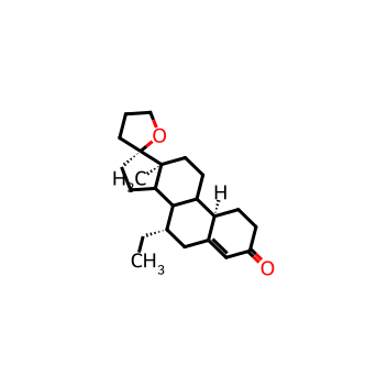 CC[C@H]1CC2=CC(=O)CC[C@@H]2C2CC[C@@]3(C)C(CC[C@@]34CCCO4)C21